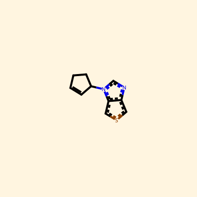 C1=CC(n2cnc3cscc32)CC1